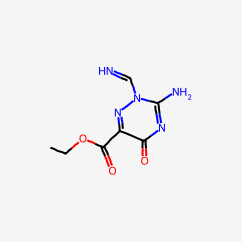 CCOC(=O)c1nn(C=N)c(N)nc1=O